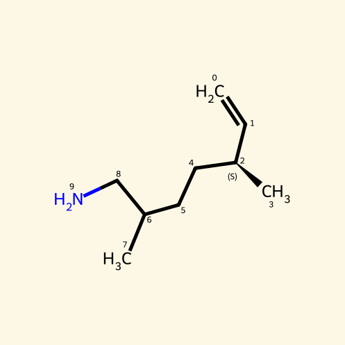 C=C[C@@H](C)CCC(C)CN